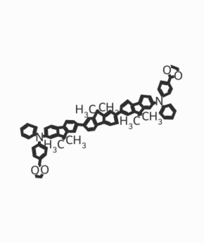 CC1(C)c2cc(-c3ccc4c(c3)C(C)(C)c3cc(N(c5ccccc5)c5ccc(C6OCCO6)cc5)ccc3-4)ccc2-c2ccc(-c3ccc4c(c3)C(C)(C)c3cc(N(c5ccccc5)c5ccc(C6OCCO6)cc5)ccc3-4)cc21